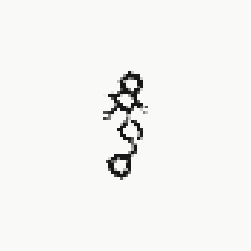 O=C1C(Cl)=C(N2CCN(Cc3ccccc3)CC2)C(=O)c2ccccc21